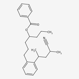 CCCC(CCCc1ccccc1C(C)CC(C)C#N)OC(=O)c1ccccc1